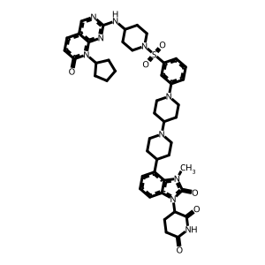 Cn1c(=O)n(C2CCC(=O)NC2=O)c2cccc(C3CCN(C4CCN(c5cccc(S(=O)(=O)N6CCC(Nc7ncc8ccc(=O)n(C9CCCC9)c8n7)CC6)c5)CC4)CC3)c21